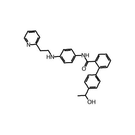 CC(O)c1ccc(-c2ccccc2C(=O)Nc2ccc(NCCc3ccccn3)cc2)cc1